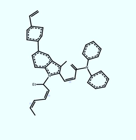 C=Cc1ccc(-c2ccc3c(c2)c(C)c(/C=C\C(=C)N(c2ccccc2)c2ccccc2)n3C(/C=C\C=C/C)CC)cc1